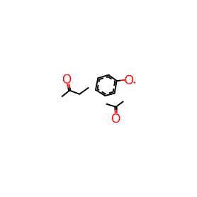 CC(C)=O.CCC(C)=O.COc1ccccc1